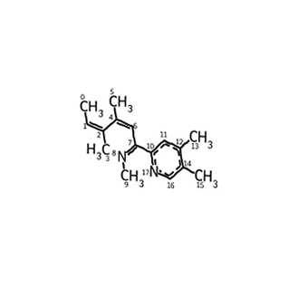 C\C=C(C)/C(C)=C\C(=N\C)c1cc(C)c(C)cn1